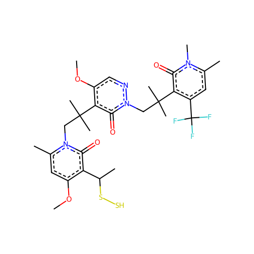 COc1cnn(CC(C)(C)c2c(C(F)(F)F)cc(C)n(C)c2=O)c(=O)c1C(C)(C)Cn1c(C)cc(OC)c(C(C)SS)c1=O